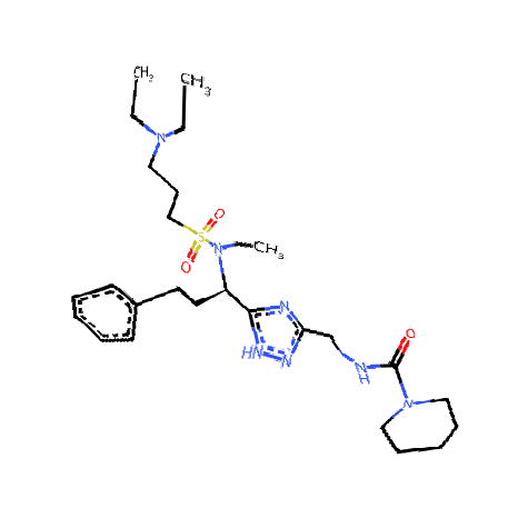 CCN(CC)CCCS(=O)(=O)N(C)[C@H](CCc1ccccc1)c1nc(CNC(=O)N2CCCCC2)n[nH]1